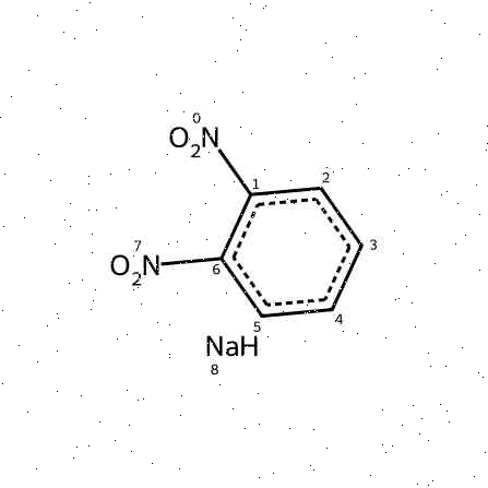 O=[N+]([O-])c1ccccc1[N+](=O)[O-].[NaH]